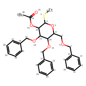 CCSC1OC(COCc2ccccc2)C(OCc2ccccc2)C(OCc2ccccc2)C1OC(=O)C(C)(C)C